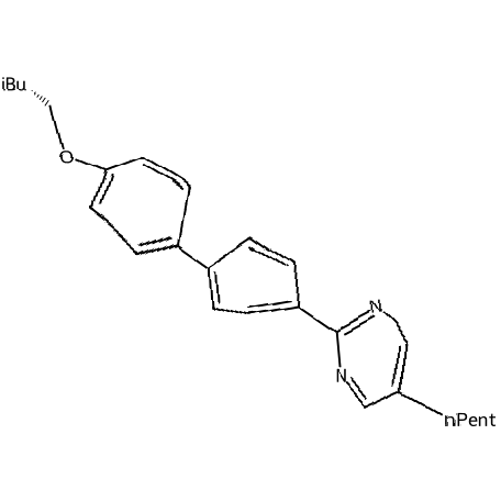 CCCCCc1cnc(-c2ccc(-c3ccc(OC[C@@H](C)CC)cc3)cc2)nc1